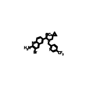 N#CC1(CN(Cc2ccc(C(F)(F)F)cn2)C(=O)c2ccc3nc(N)c(Br)cc3c2)CC1